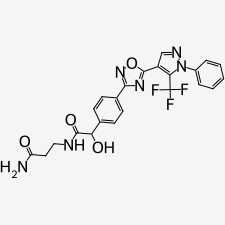 NC(=O)CCNC(=O)C(O)c1ccc(-c2noc(-c3cnn(-c4ccccc4)c3C(F)(F)F)n2)cc1